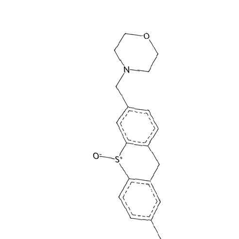 Cc1ccc2c(c1)Cc1ccc(CN3CCOCC3)cc1[S+]2[O-]